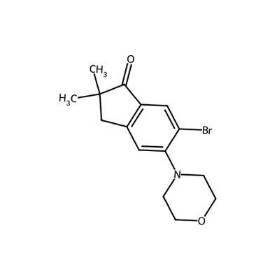 CC1(C)Cc2cc(N3CCOCC3)c(Br)cc2C1=O